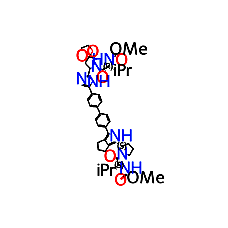 COC(=O)N[C@H](C(=O)N1CCC[C@H]1c1[nH]c(-c2ccc(-c3ccc(-c4cnc(C5CC6(CN5C(=O)[C@H](NC(=O)OC)C(C)C)OCCO6)[nH]4)cc3)cc2)c2c1CCC2)C(C)C